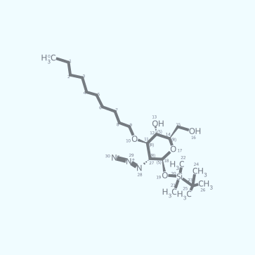 CCCCCCCCCCO[C@H]1[C@H](O)[C@@H](CO)O[C@@H](O[Si](C)(C)C(C)(C)C)[C@@H]1N=[N+]=[N-]